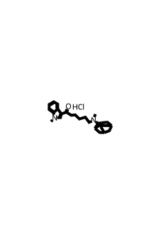 CN(CCCCCC(=O)c1cn(C)c2ccccc12)C1C2CC3CC(C2)CC1C3.Cl